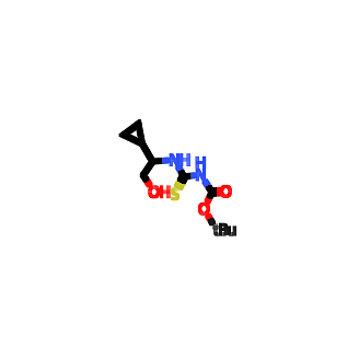 CC(C)(C)OC(=O)NC(=S)NC(CO)C1CC1